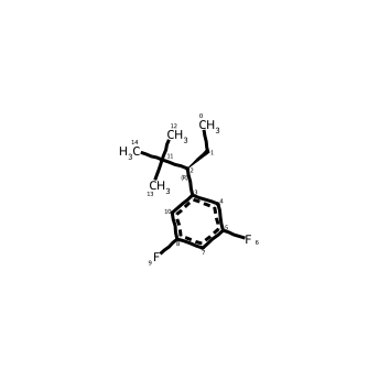 CC[C@@H](c1cc(F)cc(F)c1)C(C)(C)C